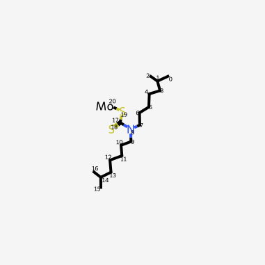 CC(C)CCCCCN(CCCCCC(C)C)C(=S)[S][Mo]